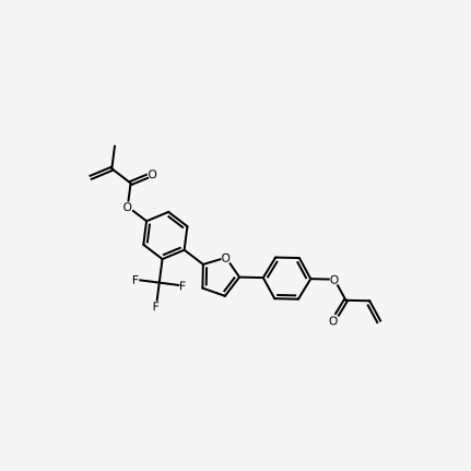 C=CC(=O)Oc1ccc(-c2ccc(-c3ccc(OC(=O)C(=C)C)cc3C(F)(F)F)o2)cc1